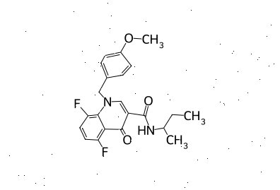 CCC(C)NC(=O)c1cn(Cc2ccc(OC)cc2)c2c(F)ccc(F)c2c1=O